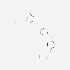 COc1cc(C)c(F)c(COc2cnc(Nc3ccc(CN4CCCCC4)cc3)nc2)c1F